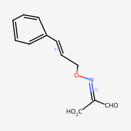 O=C/C(=N/OC/C=C/c1ccccc1)C(=O)O